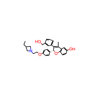 CCC1CN(CCOc2ccc([C@H]3Oc4ccc(O)cc4C(C)=C3c3cccc(CO)c3)cc2)C1